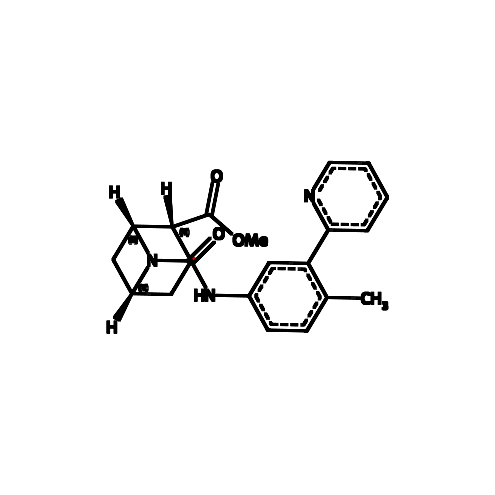 COC(=O)[C@@H]1CC[C@@H]2C[C@H]1N2C(=O)Nc1ccc(C)c(-c2ccccn2)c1